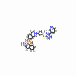 Cn1c(SCCCN2CCc3ccc(S(=O)(=O)C4NCCc5ccccc54)cc3C2)nnc1-c1cccnc1